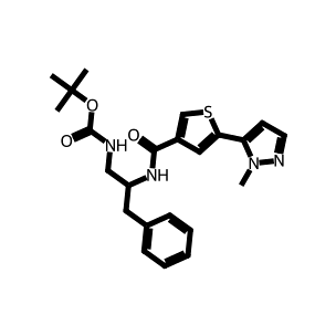 Cn1nccc1-c1cc(C(=O)NC(CNC(=O)OC(C)(C)C)Cc2ccccc2)cs1